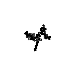 C=CCCCCCNC(=O)N1CC(Oc2cc(-c3nc(C(C)C)cs3)nc3c(C)c(OC)ccc23)C[C@H]1C(=O)NC1(C(=O)NS(=O)(=O)C2CC2)CC1